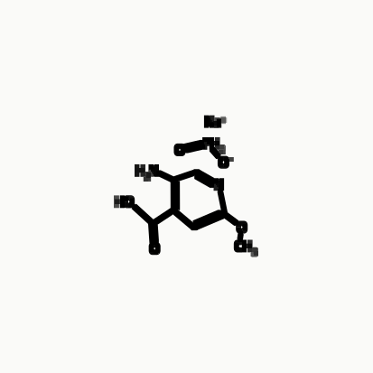 COc1cc(C(=O)O)c(N)cn1.O=[PH2][O-].[Na+]